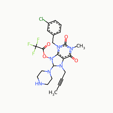 CC#CCN1c2c(n(Cc3cccc(Cl)c3)c(=O)n(C)c2=O)N(OC(=O)C(F)(F)F)C1N1CCNCC1